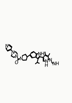 Cc1c(-c2[nH]c3ccc(C4CCN(C(=O)N5CCN(c6ccncc6)CC5)CC4)cc3c2C(C)C)c[nH]/c(=N\C=N)c1C